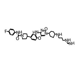 N=CNCCCNC1CCC(n2cc3c(nc2=O)Nc2cc(C4CCN(C(=O)Nc5ccc(F)cc5)CC4)ccc2O3)CC1